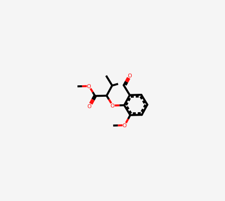 COC(=O)C(Oc1c(C=O)cccc1OC)C(C)C